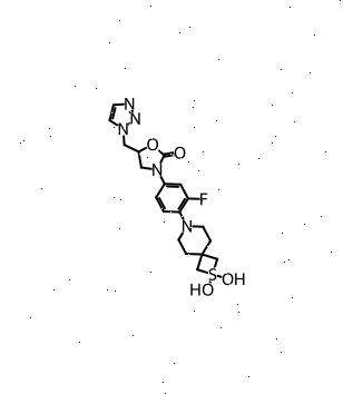 O=C1OC(Cn2ccnn2)CN1c1ccc(N2CCC3(CC2)CS(O)(O)C3)c(F)c1